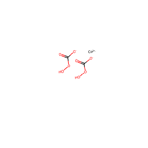 O=C([O-])OO.O=C([O-])OO.[Co+2]